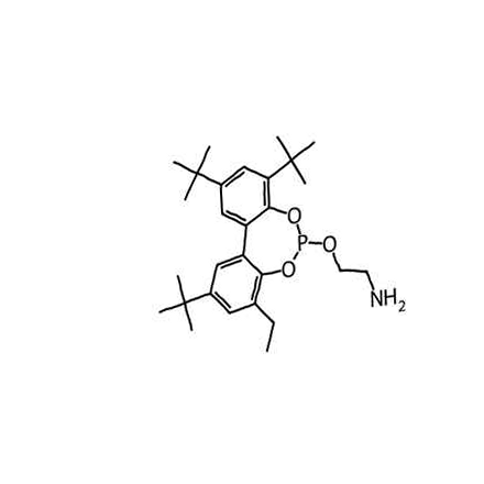 CCc1cc(C(C)(C)C)cc2c1op(OCCN)oc1c(C(C)(C)C)cc(C(C)(C)C)cc12